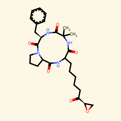 CC1(C)NC(=O)C(CCCCCC(=O)[C@H]2CO2)NC(=O)C2CCCN2C(=O)[C@@H](Cc2ccccc2)NC1=O